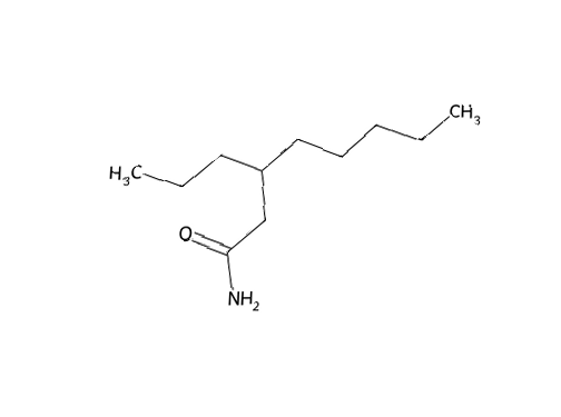 CCCCCC(CCC)CC(N)=O